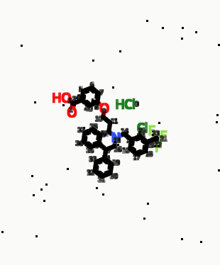 Cl.O=C(O)c1cccc(OCCCN(Cc2cccc(C(F)(F)F)c2Cl)CC(c2ccccc2)c2ccccc2)c1